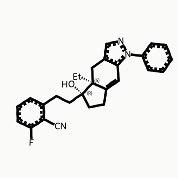 CC[C@]12Cc3cnn(-c4ccccc4)c3C=C1CC[C@@]2(O)CCc1cccc(F)c1C#N